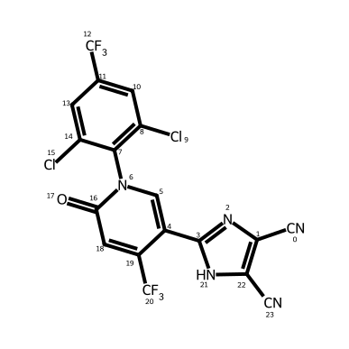 N#Cc1nc(-c2cn(-c3c(Cl)cc(C(F)(F)F)cc3Cl)c(=O)cc2C(F)(F)F)[nH]c1C#N